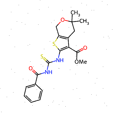 COC(=O)c1c(NC(=S)NC(=O)c2ccccc2)sc2c1CC(C)(C)OC2